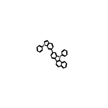 c1ccc(-n2ccc3ccc(-c4ccc5c6ccc7ccccc7c6n(-c6ccccc6)c5c4)cc32)cc1